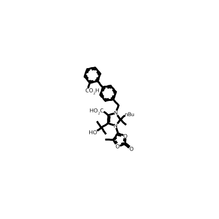 CCCCC1(C)N(Cc2ccc(-c3ccccc3C(=O)O)cc2)C(C(=O)O)=C(C(C)(C)O)N1c1oc(=O)oc1C